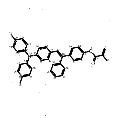 C=C(C)C(=O)Oc1ccc(/C(=C/c2ccc(N(c3ccc(C)cc3)c3ccc(C)cc3)cc2)c2ccccc2)cc1